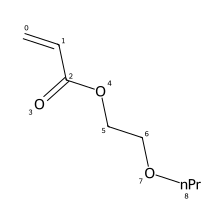 C=CC(=O)OCCOCCC